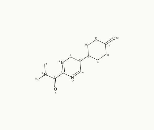 CN(C)C(=O)C1=NCC(C2CCC(=O)CC2)C=N1